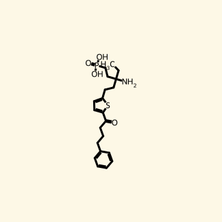 CCC(N)(CCc1ccc(C(=O)CCCc2ccccc2)s1)CCP(=O)(O)O